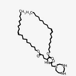 CCCCCCCC/C=C\CCCCCCCCOC(=O)CCC(NC(=O)CN1CCNCCNCC1)C(=O)OCCCCCCCC/C=C\CCCCCCCCC